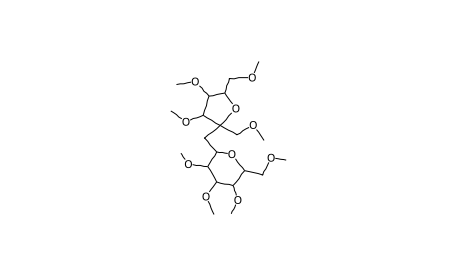 COCC1OC(CC2(COC)OC(COC)C(OC)C2OC)C(OC)C(OC)C1OC